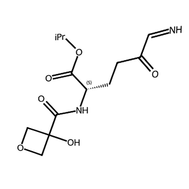 CC(C)OC(=O)[C@H](CCC(=O)C=N)NC(=O)C1(O)COC1